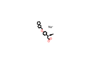 CC#C[C@@H](CC(=O)[O-])c1ccc(OCC2=CCC3(CCCC3)C2)cc1.[Na+]